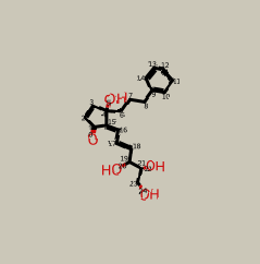 O=C1C=CC(O)(CCCc2ccccc2)C1=CC=CC(O)C(O)CO